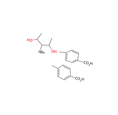 CCCCC(C(C)O)C(C)O.Cc1ccc(C(=O)O)cc1.Cc1ccc(C(=O)O)cc1